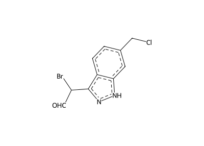 O=CC(Br)c1n[nH]c2cc(CCl)ccc12